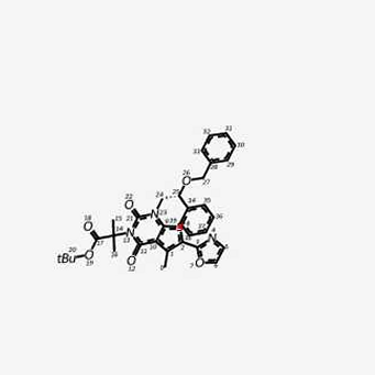 Cc1c(-c2ncco2)sc2c1c(=O)n(C(C)(C)C(=O)OC(C)(C)C)c(=O)n2C[C@H](OCc1ccccc1)c1ccccc1